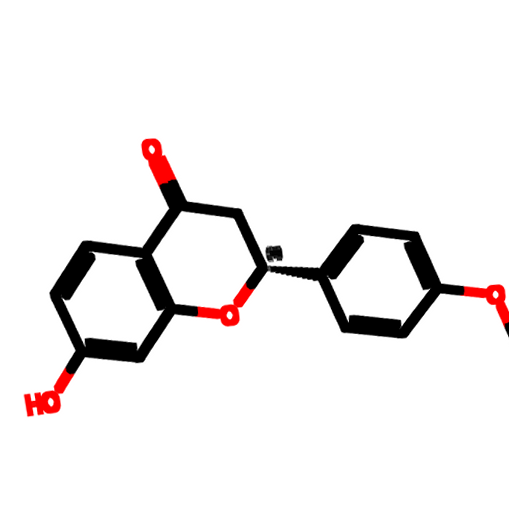 COc1ccc([C@H]2CC(=O)c3ccc(O)cc3O2)cc1